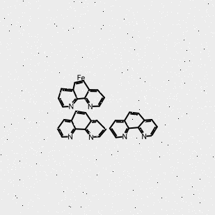 [Fe].c1cnc2c(c1)ccc1cccnc12.c1cnc2c(c1)ccc1cccnc12.c1cnc2c(c1)ccc1cccnc12